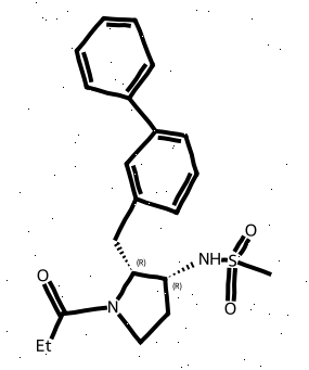 CCC(=O)N1CC[C@@H](NS(C)(=O)=O)[C@H]1Cc1cccc(-c2ccccc2)c1